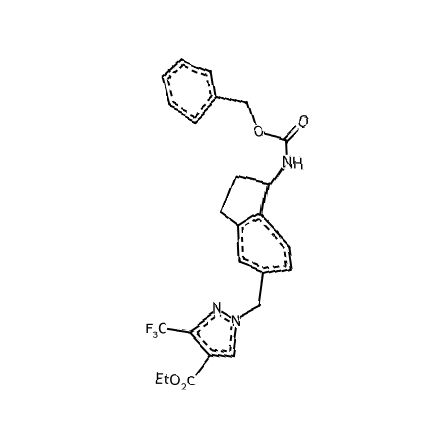 CCOC(=O)c1cn(Cc2ccc3c(c2)CCC3NC(=O)OCc2ccccc2)nc1C(F)(F)F